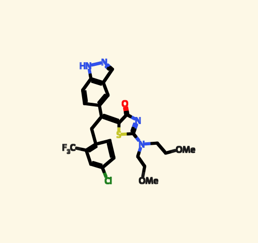 COCCN(CCOC)C1=NC(=O)C(=C(Cc2ccc(Cl)cc2C(F)(F)F)c2ccc3[nH]ncc3c2)S1